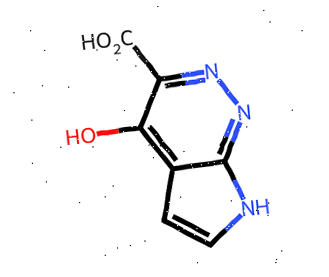 O=C(O)c1nnc2[nH]ccc2c1O